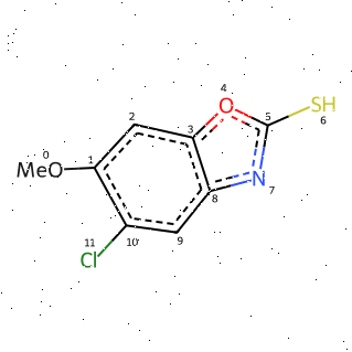 COc1cc2oc(S)nc2cc1Cl